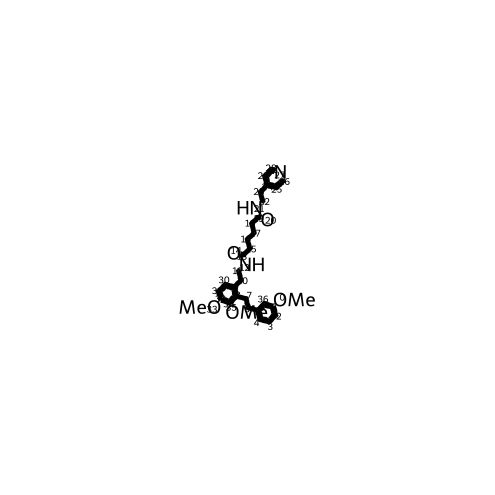 COc1cccc(CCc2c(CCNC(=O)CCCCC(=O)NCCc3ccncc3)ccc(OC)c2OC)c1